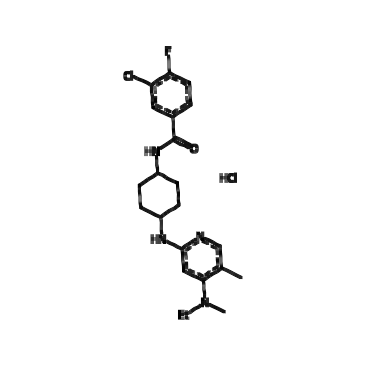 CCN(C)c1cc(NC2CCC(NC(=O)c3ccc(F)c(Cl)c3)CC2)ncc1C.Cl